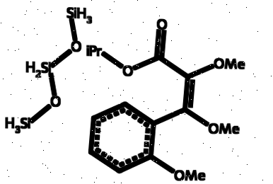 COC(C(=O)OC(C)C)=C(OC)c1ccccc1OC.[SiH3]O[SiH2]O[SiH3]